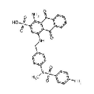 Cc1ccc(S(=O)(=O)N(C)c2ccc(CNc3cc(S(=O)(=O)O)c(N)c4c3C(=O)c3ccccc3C4=O)cc2)cc1